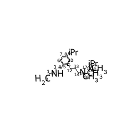 C=CNCCc1ccc(C(C)C)cc1CCCN(C)CC(C)(C)C(C)C